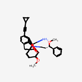 COC1CCC2(CC1)Cc1ccc(C#CC3CC3)cc1C21N=C(N)N(C[C@H](OC)c2ccccc2)C1=O